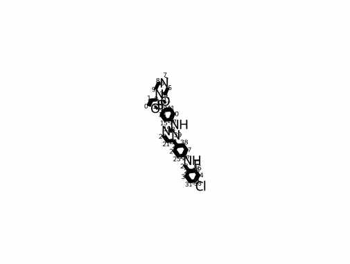 C=CC(N1CCN(C)CC1)S(=O)(=O)c1ccc(Nc2nccc(-c3ccc(NCc4ccc(Cl)cc4F)cc3)n2)cc1